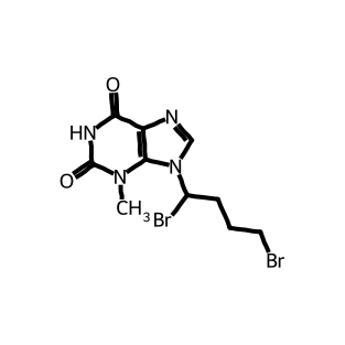 Cn1c(=O)[nH]c(=O)c2ncn(C(Br)CCCBr)c21